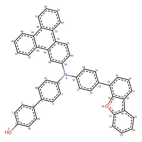 Oc1ccc(-c2ccc(N(c3ccc(-c4cccc5c4oc4ccccc45)cc3)c3ccc4c5ccccc5c5ccccc5c4c3)cc2)cc1